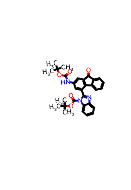 CC(C)(C)OC(=O)Nc1cc2c(c(-c3nc4ccccc4n3C(=O)OC(C)(C)C)c1)-c1ccccc1C2=O